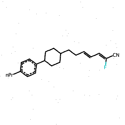 CCCc1ccc(C2CCC(CCC=CC=C(F)C#N)CC2)cc1